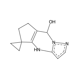 OC1C2=C(Nc3ccnn31)C1(CC2)CC1